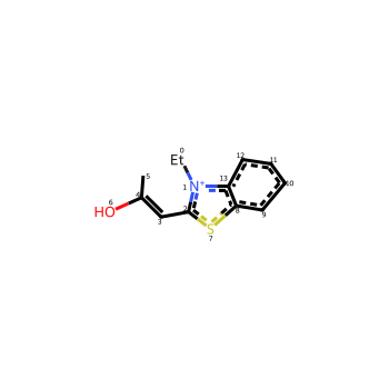 CC[n+]1c(/C=C(\C)O)sc2ccccc21